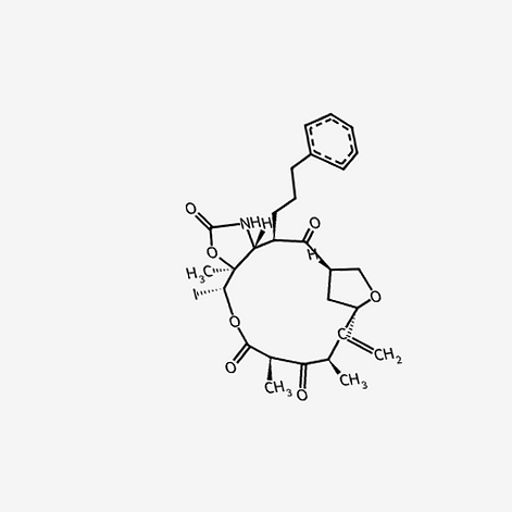 C=C[C@]12C[C@@H](CO1)C(=O)[C@H](CCCc1ccccc1)[C@H]1NC(=O)O[C@]1(C)[C@@H](I)OC(=O)[C@H](C)C(=O)[C@H](C)C2